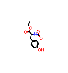 CCOC(=O)[C@H](Cc1ccc(O)cc1)N1OC1=O